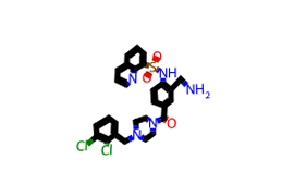 NCc1cc(C(=O)N2CCN(Cc3cccc(Cl)c3Cl)CC2)ccc1NS(=O)(=O)c1cccc2cccnc12